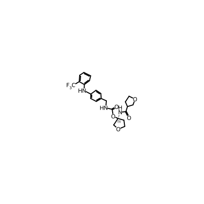 O=C(NCc1ccc(Nc2ccccc2C(F)(F)F)cc1)O[C@@]1(NC(=O)C2CCOC2)CCOC1